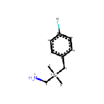 C[Si](C)(CN)Cc1ccc(F)cc1